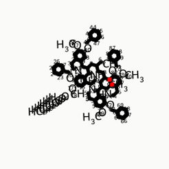 CCC(CCC(CC)CC(C1NCCc2cc(OC)c(OCc3ccccc3)cc21)C1NCCc2cc(OC)c(OCc3ccccc3)cc21)CC(C1NCCc2cc(OC)c(OCc3ccccc3)cc21)C1NCCc2cc(OC)c(OCc3ccccc3)cc21.Cl.Cl.Cl.Cl.O.O.O.O